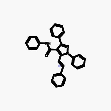 O=C(Nc1ccccc1)c1c(-c2ccccc2)nn(-c2ccccc2)c1/C=C/c1ccccc1